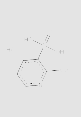 Cl.O=C(O)c1ncccc1P(=O)(O)O